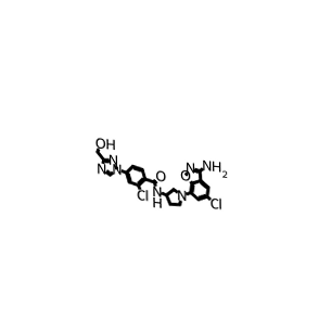 Nc1noc2c(N3CCC(NC(=O)c4ccc(-n5cnc(CO)n5)cc4Cl)C3)cc(Cl)cc12